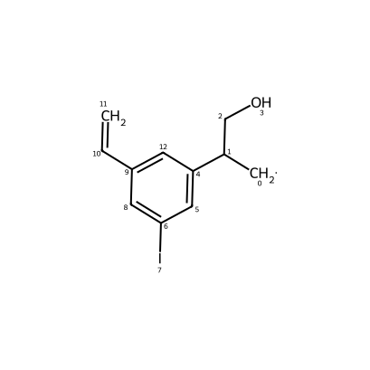 [CH2]C(CO)c1cc(I)cc(C=C)c1